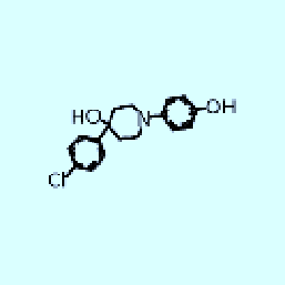 Oc1ccc(N2CCC(O)(c3ccc(Cl)cc3)CC2)cc1